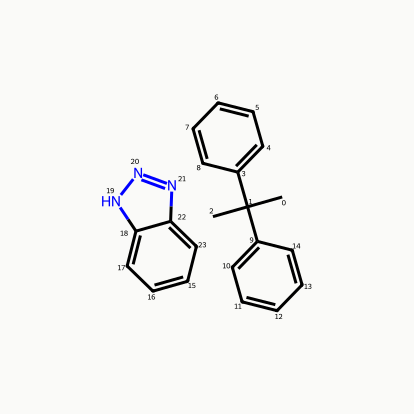 CC(C)(c1ccccc1)c1ccccc1.c1ccc2[nH]nnc2c1